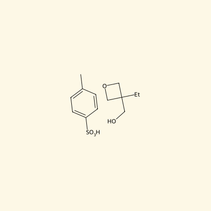 CCC1(CO)COC1.Cc1ccc(S(=O)(=O)O)cc1